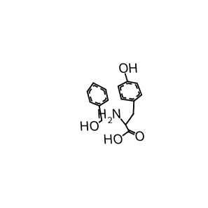 NC(Cc1ccc(O)cc1)C(=O)O.OCc1ccccc1